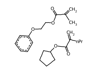 C=C(C)C(=O)OCCOc1ccccc1.C=C(CCC)C(=O)OC1CCCC1